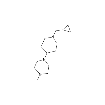 CN1CCN(C2CCN(CC3CC3)CC2)CC1